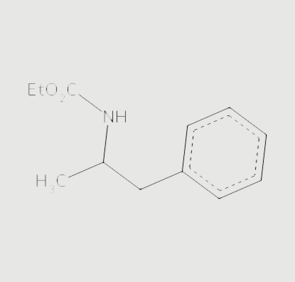 CCOC(=O)NC(C)Cc1ccccc1